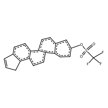 O=S(=O)(Oc1ccc2c(ccc3c4ccc5c(c4ccc23)CC=C5)c1)C(F)(F)F